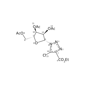 CCOC(=O)c1nnn([C@@H]2O[C@H](COC(C)=O)[C@@H](OC(C)=O)[C@H]2OC(C)=O)c1Cl